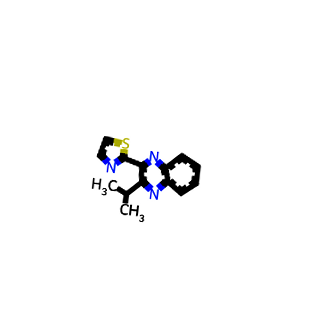 CC(C)c1nc2ccccc2nc1-c1nccs1